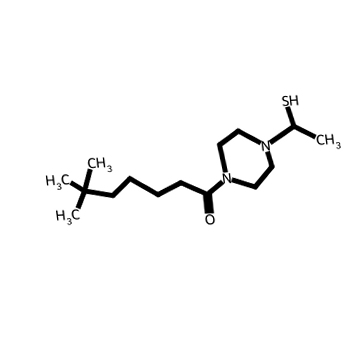 CC(S)N1CCN(C(=O)CCCCC(C)(C)C)CC1